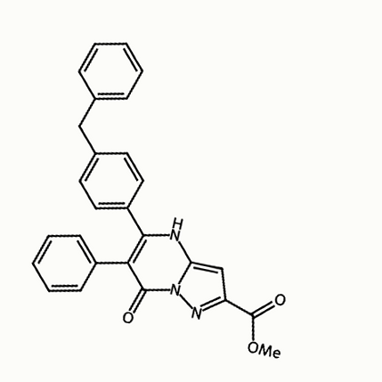 COC(=O)c1cc2[nH]c(-c3ccc(Cc4ccccc4)cc3)c(-c3ccccc3)c(=O)n2n1